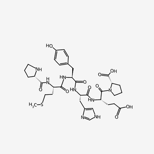 CSCC[C@H](NC(=O)[C@@H]1CCCN1)C(=O)N[C@@H](Cc1ccc(O)cc1)C(=O)N[C@@H](Cc1c[nH]cn1)C(=O)N[C@@H](CCC(=O)O)C(=O)N1CCC[C@H]1C(=O)O